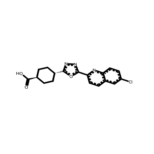 O=C(O)[C@H]1CC[C@H](c2nnc(-c3ccc4cc(Cl)ccc4n3)o2)CC1